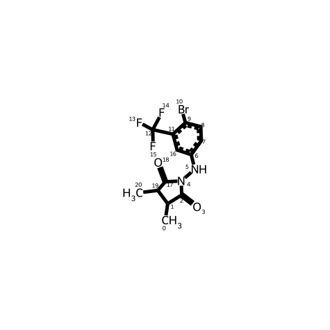 CC1C(=O)N(Nc2ccc(Br)c(C(F)(F)F)c2)C(=O)C1C